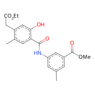 CCOC(=O)Cc1cc(O)c(C(=O)Nc2cc(C)cc(C(=O)OC)c2)cc1C